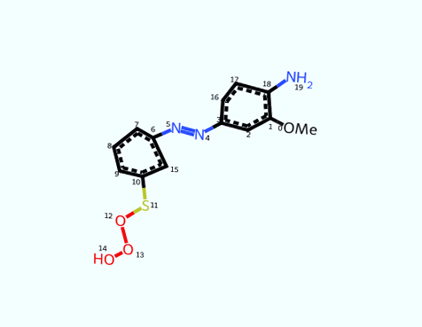 COc1cc(/N=N/c2cccc(SOOO)c2)ccc1N